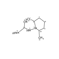 CCCCCCC(C#N)NN1C(C)CCCC1C